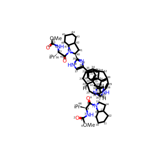 COC(=O)N[C@H](C(=O)N1C2CCCCC2C[C@H]1c1nc(C2=CC3=CC[C@@H]2CC[C@@H]2C=CC(=C(c4ccc(-c5c[nH]c([C@@H]6CC7CCCCC7N6C(=O)[C@@H](NC(=O)OC)C(C)C)n5)cc4)C2C)CC3)c[nH]1)C(C)C